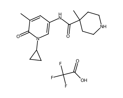 Cc1cc(NC(=O)C2(C)CCNCC2)cn(C2CC2)c1=O.O=C(O)C(F)(F)F